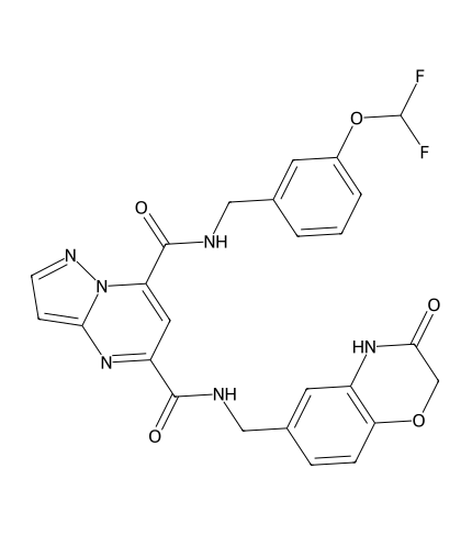 O=C1COc2ccc(CNC(=O)c3cc(C(=O)NCc4cccc(OC(F)F)c4)n4nccc4n3)cc2N1